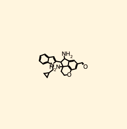 NC1c2cc(C=O)cc3c2C(N)(CCO3)C1c1cc2ccccc2n1CC1CC1